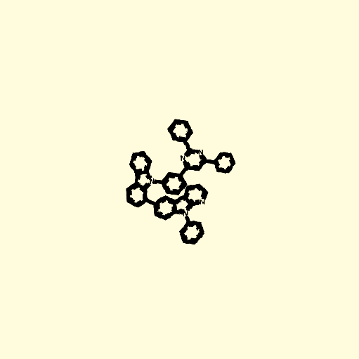 c1ccc(-c2cc(-c3cccc(-n4c5ccccc5c5cccc(-c6ccc7c(c6)c6cccnc6n7-c6ccccc6)c54)c3)nc(-c3ccccc3)n2)cc1